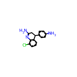 NC1=Nc2c(Cl)cccc2C(c2ccc(N)cc2)C1